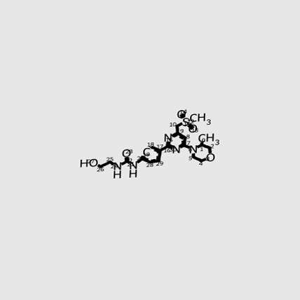 CC1COCCN1c1cc(CS(C)(=O)=O)nc(-c2ccc(NC(=O)NCCO)cc2)n1